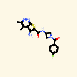 Cc1nnc2sc(C(=O)NC3CN(C(=O)c4ccc(F)cc4)C3)c(N)c2c1C